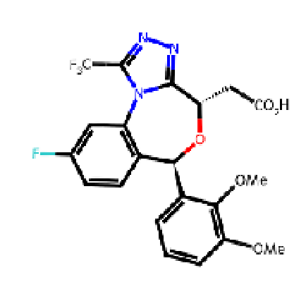 COc1cccc([C@@H]2O[C@@H](CC(=O)O)c3nnc(C(F)(F)F)n3-c3cc(F)ccc32)c1OC